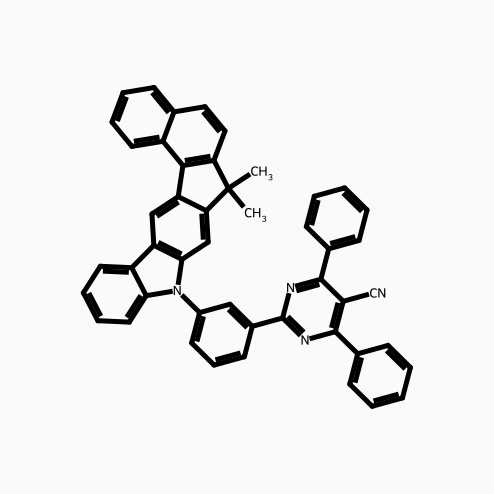 CC1(C)c2cc3c(cc2-c2c1ccc1ccccc21)c1ccccc1n3-c1cccc(-c2nc(-c3ccccc3)c(C#N)c(-c3ccccc3)n2)c1